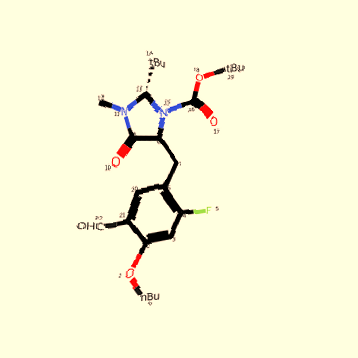 CCCCOc1cc(F)c(CC2C(=O)N(C)[C@H](C(C)(C)C)N2C(=O)OC(C)(C)C)cc1C=O